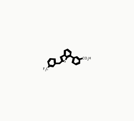 O=C(O)c1cccc(-c2cccc3cc(Cc4cccc(C(F)(F)F)c4)sc23)c1